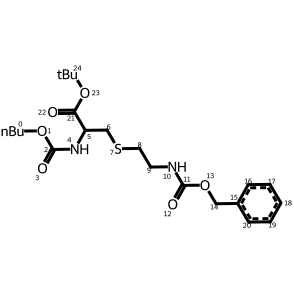 CCCCOC(=O)NC(CSCCNC(=O)OCc1ccccc1)C(=O)OC(C)(C)C